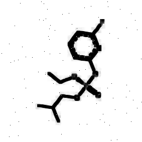 CCO[P@@](=O)(OCC(C)C)Oc1cccc(F)n1